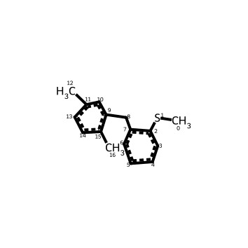 CSc1ccccc1Cc1cc(C)ccc1C